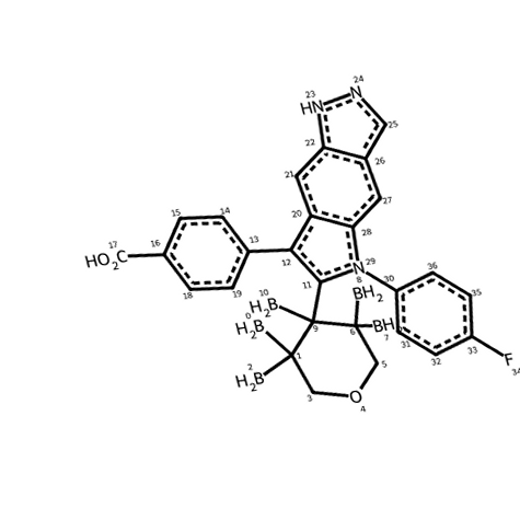 BC1(B)COCC(B)(B)C1(B)c1c(-c2ccc(C(=O)O)cc2)c2cc3[nH]ncc3cc2n1-c1ccc(F)cc1